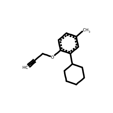 C#CCOc1ccc(C)cc1C1CCCCC1